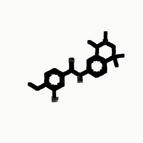 CCc1ccc(C(=O)Nc2ccc3c(c2)C(C)N(C)CC3(C)C)cc1Br